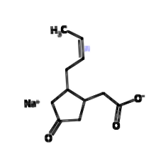 C/C=C\CC1CC(=O)CC1CC(=O)[O-].[Na+]